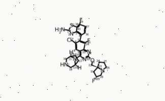 Nc1nc2c(-c3c(Cl)cc4c(N5[C@@H]6CC[C@H]5CNC6)nc(OC[C@@]56CCCN5C[C@H](F)C6)nc4c3F)ccc(F)c2s1